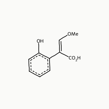 COC=C(C(=O)O)c1ccccc1O